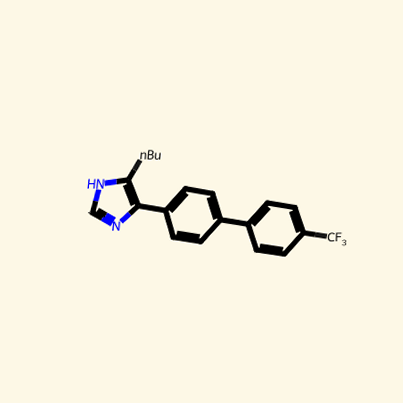 CCCCc1[nH][c]nc1-c1ccc(-c2ccc(C(F)(F)F)cc2)cc1